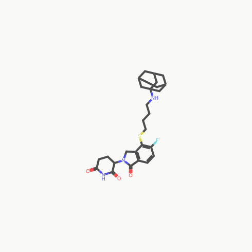 O=C1CCC(N2Cc3c(ccc(F)c3SCCCCNC34CC5CC(CC(C5)C3)C4)C2=O)C(=O)N1